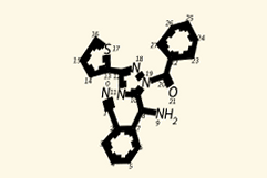 N#Cc1ccccc1C(N)c1nc(-c2cccs2)nn1C(=O)c1ccccc1